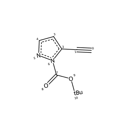 C#Cc1ccnn1C(=O)OC(C)(C)C